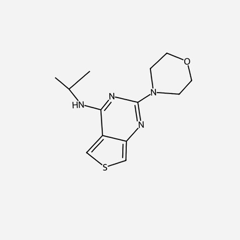 CC(C)Nc1nc(N2CCOCC2)nc2cscc12